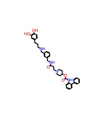 O=C(CCN1CCC(OC(=O)Nc2ccccc2-c2ccccc2)CC1)NCc1cccc(CNCCCc2ccc(O)c(O)c2)c1